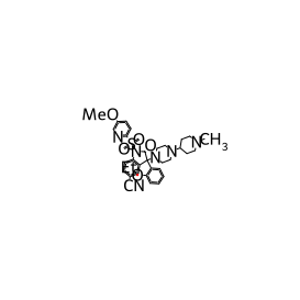 CCOc1ccccc1C1(N2CCN(C3CCN(C)CC3)CC2)C(=O)N(S(=O)(=O)c2ccc(OC)cn2)c2ccc(C#N)cc21